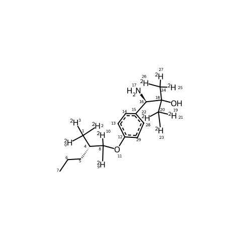 [2H]C([2H])([2H])[C@@H](CCC)C([2H])([2H])Oc1ccc([C@@H](N)C(O)(C([2H])([2H])[2H])C([2H])([2H])[2H])cc1